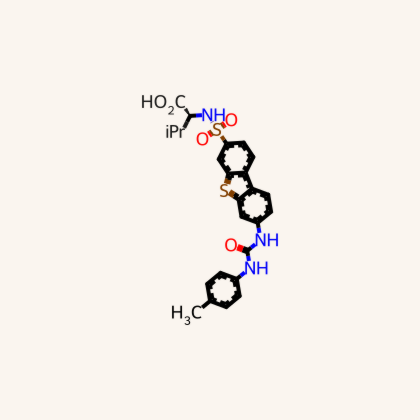 Cc1ccc(NC(=O)Nc2ccc3c(c2)sc2cc(S(=O)(=O)N[C@H](C(=O)O)C(C)C)ccc23)cc1